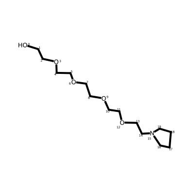 OCCOCCOCCOCCOCCN1CCCC1